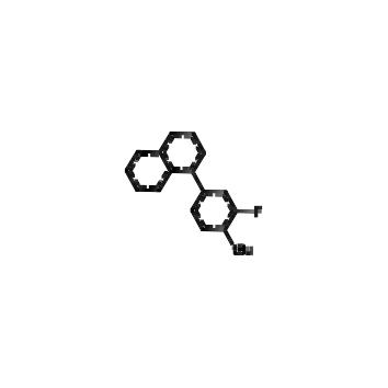 CC(C)(C)c1ccc(-c2cccc3ccccc23)cc1F